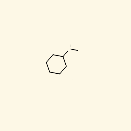 [Cl-].[Cl-].[Cl-].[Ti+3][NH]C1CCCCC1